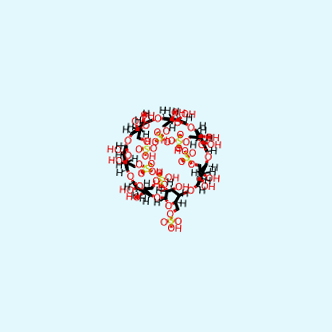 O=S(=O)(O)OC[C@H]1C[C@@H]2O[C@H]3[C@H](O)[C@@H](O)[C@@H](O[C@H]4[C@H](O)[C@@H](O)[C@@H](O[C@H]5[C@H](O)[C@@H](O)[C@@H](O[C@H]6[C@H](O)[C@@H](O)[C@@H](O[C@H]7[C@H](O)[C@@H](O)[C@@H](O[C@H]8[C@H](O)[C@@H](O)[C@@H](O[C@H]1[C@H](O)[C@H]2O)O[C@@H]8COS(=O)(=O)O)O[C@@H]7COS(=O)(=O)O)O[C@@H]6COS(=O)(=O)O)O[C@@H]5COS(=O)(=O)O)O[C@@H]4COS(=O)(=O)O)O[C@@H]3COS(=O)(=O)O